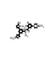 CCn1ccc(-c2cc(-c3cnn(C)c3)cc([C@@H](C)NC(=O)c3cc(N4CCN(C)CC4)cc(F)c3C)c2)n1